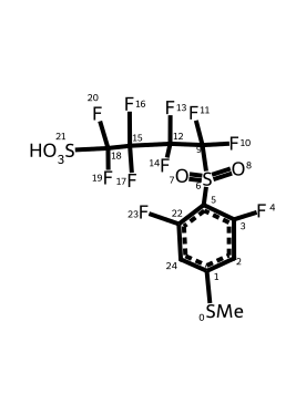 CSc1cc(F)c(S(=O)(=O)C(F)(F)C(F)(F)C(F)(F)C(F)(F)S(=O)(=O)O)c(F)c1